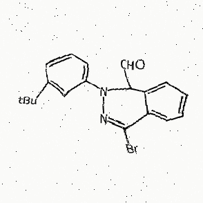 CC(C)(C)c1cccc(N2N=C(Br)c3ccccc3C2C=O)c1